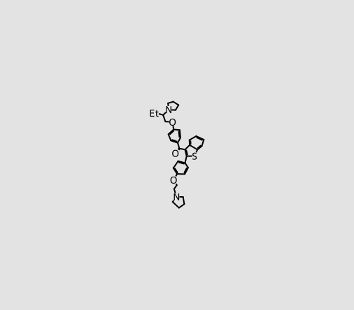 CCC(COc1ccc(C(=O)c2c(-c3ccc(OCCN4CCCC4)cc3)sc3ccccc23)cc1)N1CCCC1